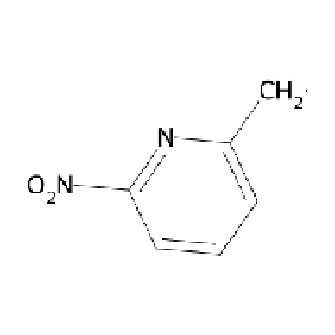 [CH2]c1cccc([N+](=O)[O-])n1